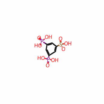 O=P(O)(O)c1cc(P(=O)(O)O)cc(S(=O)(=O)O)c1